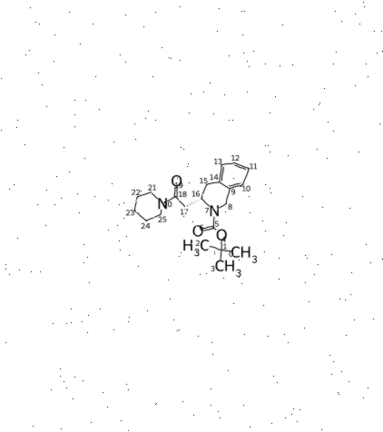 CC(C)(C)OC(=O)N1Cc2ccccc2C[C@H]1CC(=O)N1CCCCC1